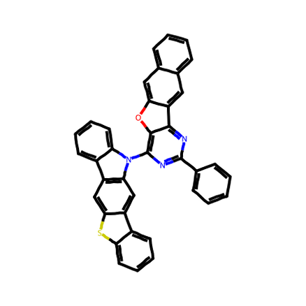 c1ccc(-c2nc(-n3c4ccccc4c4cc5sc6ccccc6c5cc43)c3oc4cc5ccccc5cc4c3n2)cc1